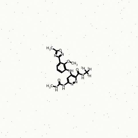 [2H]C([2H])([2H])NC(=O)c1nnc(NC(=O)NC)cc1Nc1cccc(-c2noc(C)n2)c1OC